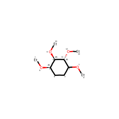 CCOC1CC[C@@H](OCC)[C@@H](OCC)[C@@H]1OCC